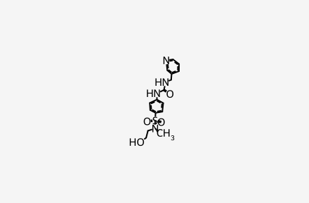 CN(CCO)S(=O)(=O)c1ccc(NC(=O)NCc2cccnc2)cc1